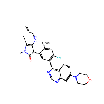 C=C/C=N\C1=C(C)N(C)C(=O)C1c1cc(-c2ncnc3cc(N4CCOCC4)ccc23)c(F)cc1OC